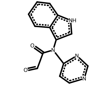 O=CC(=O)N(c1ccncn1)c1c[nH]c2ccccc12